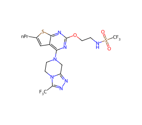 CCCc1cc2c(N3CCn4c(nnc4C(F)(F)F)C3)nc(OCCNS(=O)(=O)C(F)(F)F)nc2s1